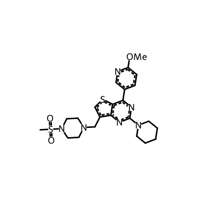 COc1ccc(-c2nc(N3CCCCC3)nc3c(CN4CCN(S(C)(=O)=O)CC4)csc23)cn1